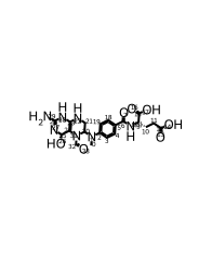 CN(c1ccc(C(=O)N[C@@H](CCC(=O)O)C(=O)O)cc1)C1CNC2=C(C(O)N=C(N)N2)N1C=O